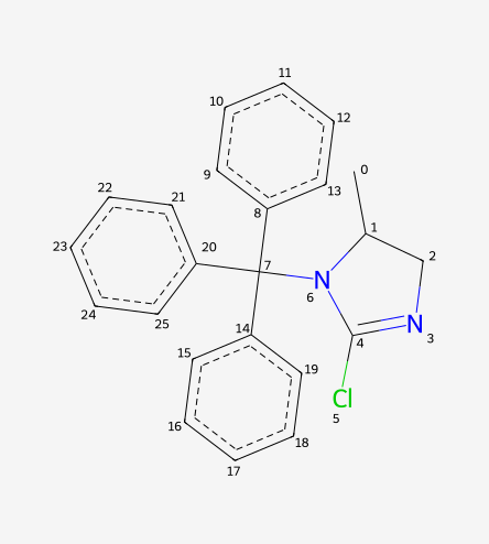 CC1CN=C(Cl)N1C(c1ccccc1)(c1ccccc1)c1ccccc1